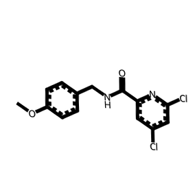 COc1ccc(CNC(=O)c2cc(Cl)cc(Cl)n2)cc1